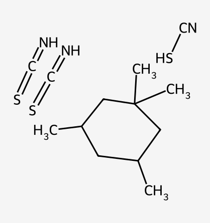 CC1CC(C)CC(C)(C)C1.N#CS.N=C=S.N=C=S